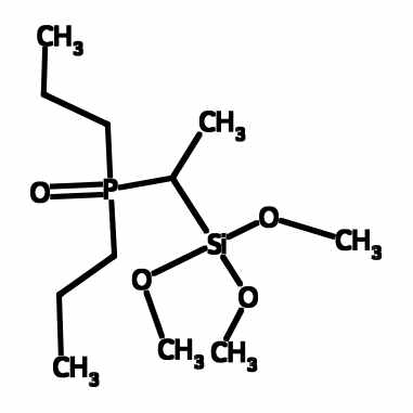 CCCP(=O)(CCC)C(C)[Si](OC)(OC)OC